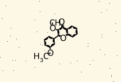 COc1cccc(-c2oc3ccccc3c(=O)c2OC)c1